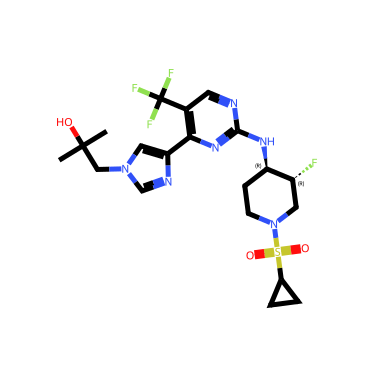 CC(C)(O)Cn1cnc(-c2nc(N[C@@H]3CCN(S(=O)(=O)C4CC4)C[C@H]3F)ncc2C(F)(F)F)c1